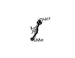 CSc1ccccc1OCCNCC(O)COc1cccc2c1CCN2C=O